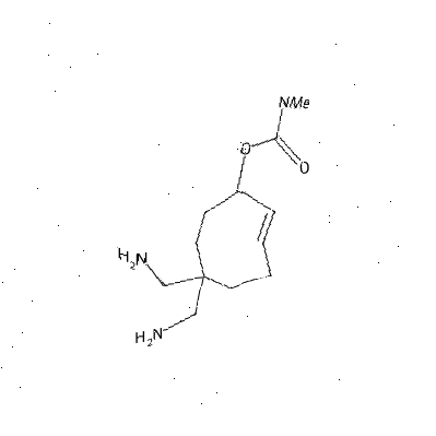 CNC(=O)OC1/C=C/CCC(CN)(CN)CC1